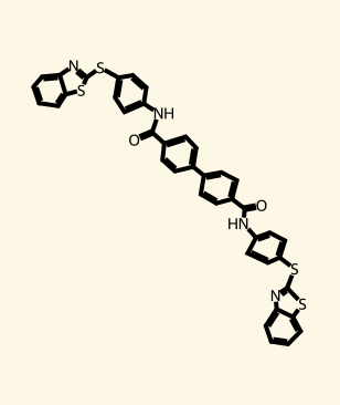 O=C(Nc1ccc(Sc2nc3ccccc3s2)cc1)c1ccc(-c2ccc(C(=O)Nc3ccc(Sc4nc5ccccc5s4)cc3)cc2)cc1